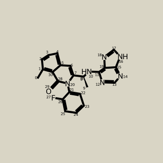 Cc1cccc2cc([C@H](C)Nc3ncnc4[nH]cnc34)n(-c3ccccc3F)c(=O)c12